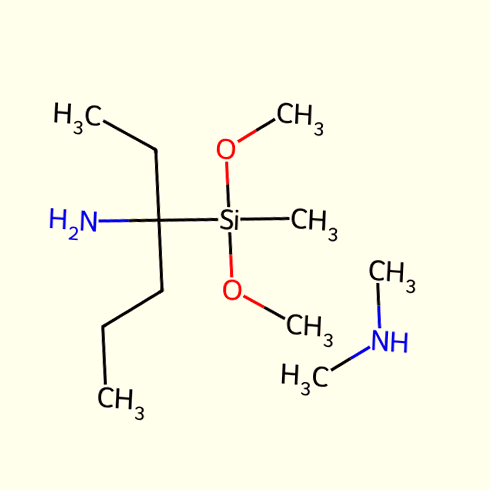 CCCC(N)(CC)[Si](C)(OC)OC.CNC